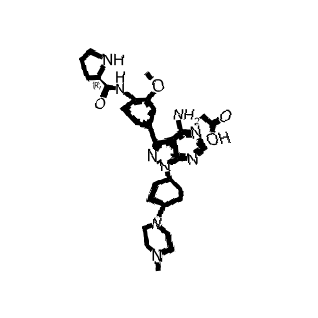 CC(=O)O.COc1cc(-c2nn(C3CCC(N4CCN(C)CC4)CC3)c3ncnc(N)c23)ccc1NC(=O)[C@H]1CCCN1